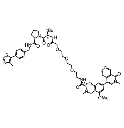 COc1cc(-c2cn(C)c(=O)c3cnccc23)cc(OC)c1CN(C)CC(=O)NCCOCCOCCOCC(=O)N[C@@H](C(=O)N1CCCC1C(=O)NCc1ccc(-c2scnc2C)cc1)C(C)(C)C